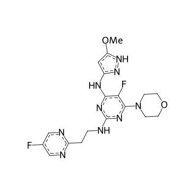 COc1cc(Nc2nc(NCCc3ncc(F)cn3)nc(N3CCOCC3)c2F)n[nH]1